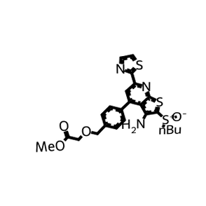 CCCC[S+]([O-])c1sc2nc(-c3nccs3)cc(-c3ccc(COCC(=O)OC)cc3)c2c1N